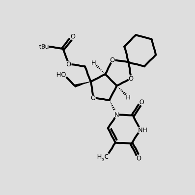 Cc1cn([C@@H]2O[C@](CO)(COC(=O)C(C)(C)C)[C@H]3OC4(CCCCC4)O[C@@H]23)c(=O)[nH]c1=O